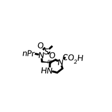 CCCN(C[C@H]1CN(C(=O)O)CCN1)S(C)(=O)=O